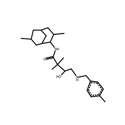 Cc1ccc(CNCC(O)C(C)(C)C(=O)NC2C(C)CC3CC(C)CC2C3)cc1